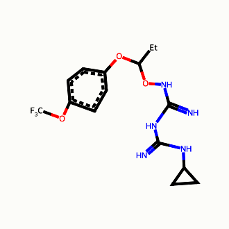 CCC(ONC(=N)NC(=N)NC1CC1)Oc1ccc(OC(F)(F)F)cc1